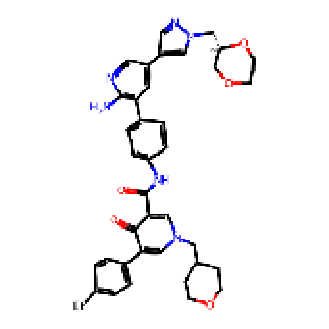 CCc1ccc(-c2cn(CC3CCOCC3)cc(C(=O)Nc3ccc(-c4cc(-c5cnn(C[C@H]6COCCO6)c5)cnc4N)cc3)c2=O)cc1